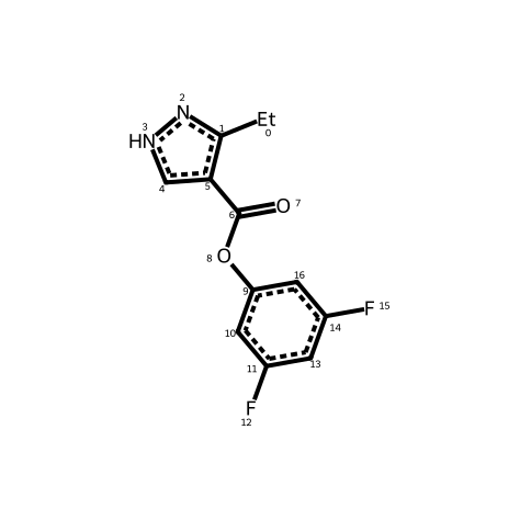 CCc1n[nH]cc1C(=O)Oc1cc(F)cc(F)c1